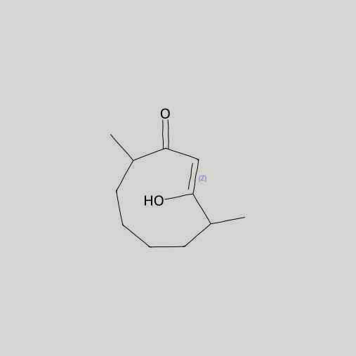 CC1CCCCC(C)/C(O)=C/C1=O